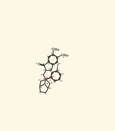 COc1cc2c(cc1OC)C(=O)C(CC1(F)CC3CCC(C1)N3Cc1cccc(F)c1)C2